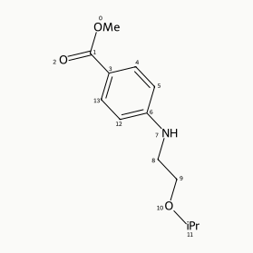 COC(=O)c1ccc(NCCOC(C)C)cc1